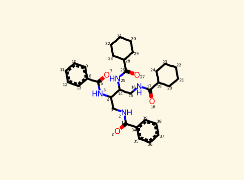 O=C(NCC(NC(=O)c1ccccc1)C(CNC(=O)C1CCCCC1)NC(=O)C1CCCCC1)c1ccccc1